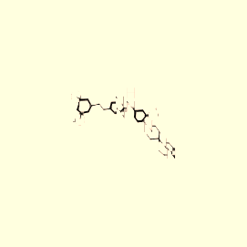 COc1cc(CCc2cnc(Nc3ccc(N4CCC(N5CCN(C)CC5)CC4)c(OC)c3)nc2)cc(OC)c1